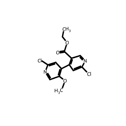 CCOC(=O)c1cnc(Cl)cc1-c1cc(Cl)ncc1OC